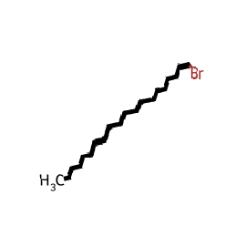 CCCCCCC=CCCCCCCCCCC/C=C\Br